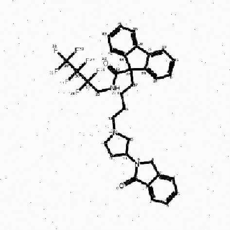 O=C1c2ccccc2CN1C1CCN(CCCCC2(C(=O)NCC(F)(F)C(F)(F)C(F)(F)F)c3ccccc3-c3ccccc32)C1